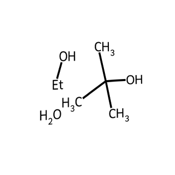 CC(C)(C)O.CCO.O